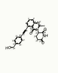 Cc1nc2cccc(C#Cc3ccc(CO)cc3)c2c(=O)n1C1CCC(=O)NC1=O